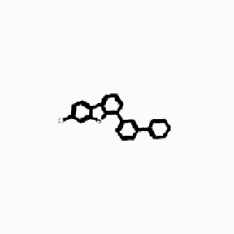 Clc1ccc2c(c1)sc1c(-c3cccc(C4=CCCC=C4)c3)cccc12